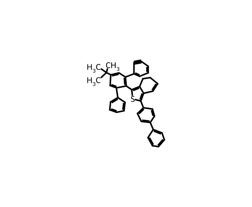 CC(C)(C)c1cc(-c2c#cccc2)c(-c2sc(-c3ccc(-c4ccccc4)cc3)c3c2CCC=C3)c(-c2ccccc2)c1